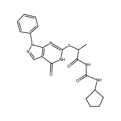 CC(Sc1nc2c(cnn2-c2ccccc2)c(=O)[nH]1)C(=O)NC(=O)NC1CCCC1